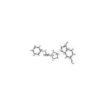 Cn1cc([C@@H]2CC[C@@H](NCc3ccccc3)C2)c2cc(F)ccc21